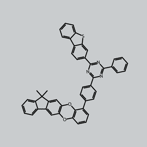 CC1(C)c2ccccc2-c2cc3c(cc21)Oc1c(cccc1-c1ccc(-c2nc(-c4ccccc4)nc(-c4ccc5c(c4)sc4ccccc45)n2)cc1)O3